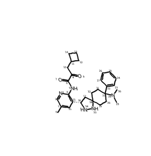 Cc1cnc(NC(=O)C(=O)CC2CCC2)c([C@@H]2CC3(CCC(c4ccccc4)(N(C)C)CC3)NN2)c1